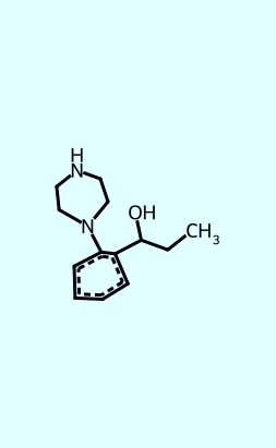 CCC(O)c1ccccc1N1CCNCC1